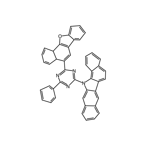 C1=CC2C(c3nc(-c4ccccc4)nc(-n4c5cc6ccccc6cc5c5ccc6ccccc6c54)n3)=Cc3c(oc4ccccc34)C2C=C1